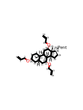 C=CCO[C@@H]1CC[C@@]2(C)[C@@H](C1)C[C@@H](OCC=C)[C@@H]1[C@@H]2C[C@H](OCC=C)[C@]2(C)[C@@H]([C@H](C)CCC)CC[C@@H]12